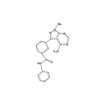 CC(C)(C)n1nc(-c2cccc(C(=O)Nc3ccccc3)c2)c2c(N)ncnc21